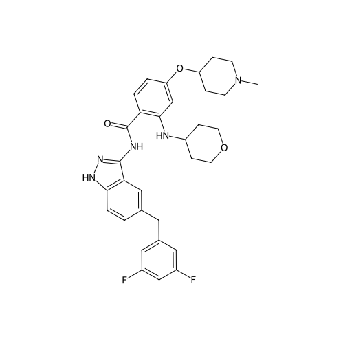 CN1CCC(Oc2ccc(C(=O)Nc3n[nH]c4ccc(Cc5cc(F)cc(F)c5)cc34)c(NC3CCOCC3)c2)CC1